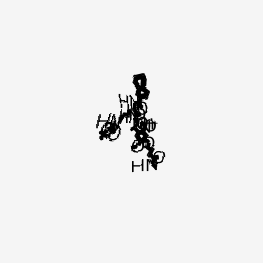 CNC(=O)CCCOc1cc([N+](=O)[O-])c(C(C)NNC(=O)[C@H](CCCCNC(=O)OC(C)(C)C)NC(=O)c2ccc3ccccc3c2)cc1OC